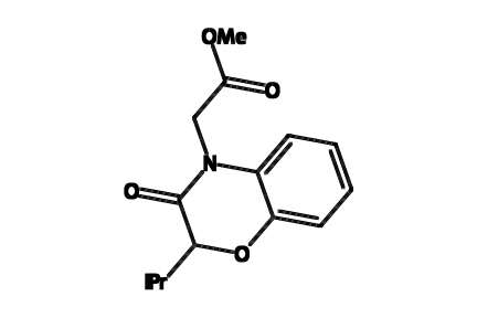 COC(=O)CN1C(=O)C(C(C)C)Oc2ccccc21